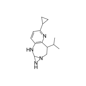 CC(C)C1CN2NC2Nc2ccc(C3CC3)nc21